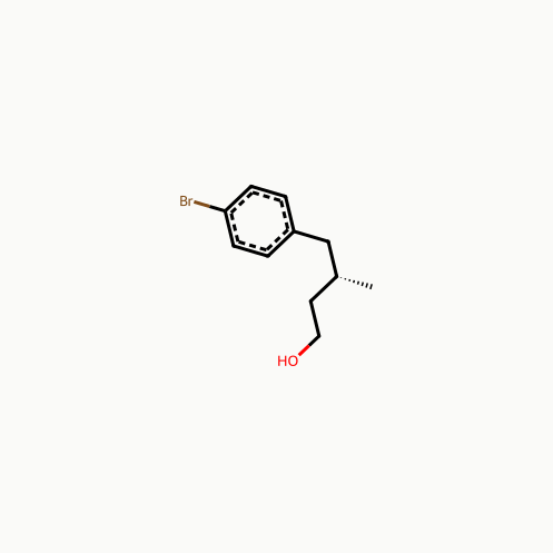 C[C@H](CCO)Cc1ccc(Br)cc1